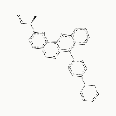 C=C[C@@H](C)c1ccc2ccc3c(-c4ccc(C5C=CC=CC5)cc4)c4ccccc4nc3c2n1